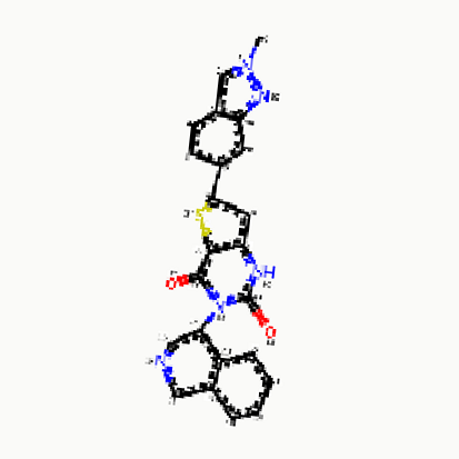 Cn1cc2ccc(-c3cc4[nH]c(=O)n(-c5cncc6ccccc56)c(=O)c4s3)cc2n1